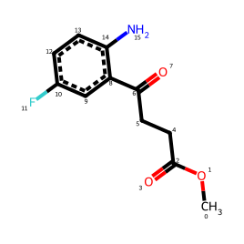 COC(=O)CCC(=O)c1cc(F)ccc1N